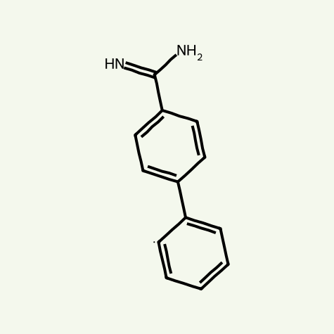 N=C(N)c1ccc(-c2[c]cccc2)cc1